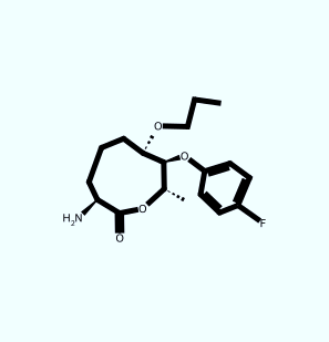 CCCO[C@H]1CCC[C@H](N)C(=O)O[C@@H](C)[C@@H]1Oc1ccc(F)cc1